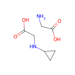 NCC(=O)O.O=C(O)CNC1CC1